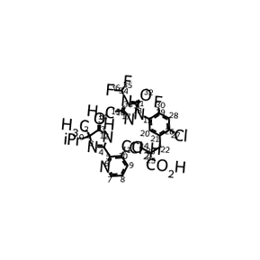 CC(C)C1(C)N=C(c2ncccc2C(=O)O)NC1=O.Cc1nn(-c2cc(CC(Cl)C(=O)O)c(Cl)cc2F)c(=O)n1C(F)F